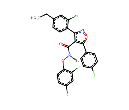 CCN(Oc1ccc(Cl)cc1Cl)C(=O)c1c(-c2ccc(CC(=O)O)cc2Cl)noc1-c1ccc(F)cc1